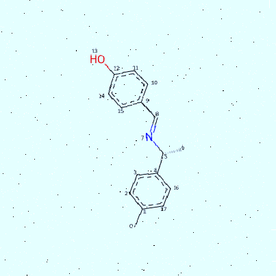 Cc1ccc([C@@H](C)/N=C/c2ccc(O)cc2)cc1